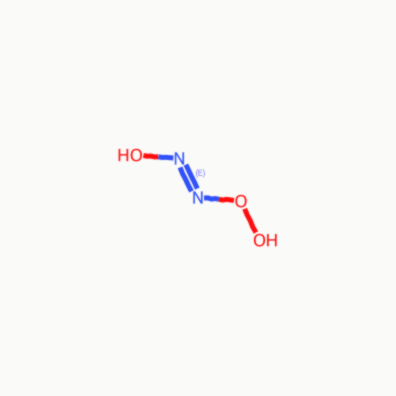 O/N=N/OO